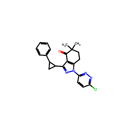 CC1(C)CCc2c(c(C3CC3c3ccccc3)nn2-c2ccc(Cl)nn2)C1=O